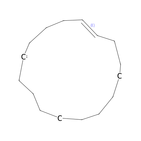 [C]1CCC/C=C/CCCCCCCCCC1